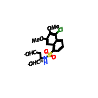 COc1cc2c(S(=O)(=O)N[C@H]([C]=O)C[C]=O)cccc2c(Cl)c1OC